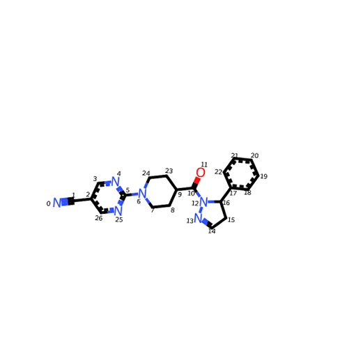 N#Cc1cnc(N2CCC(C(=O)N3N=CCC3c3ccccc3)CC2)nc1